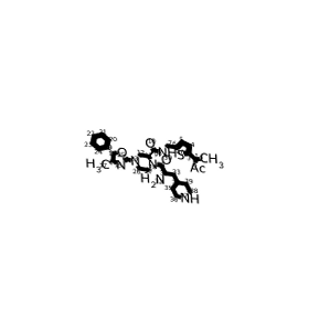 CC(=O)C(C)c1ccc(CNC(=O)[C@@H]2CN(C3=N[C@@H](C)[C@H](c4ccccc4)O3)CCN2C(=O)[C@H](N)CC2CCNCC2)s1